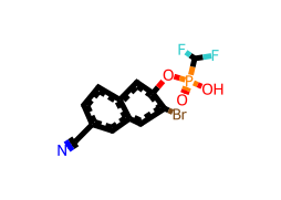 N#Cc1ccc2cc(OP(=O)(O)C(F)F)c(Br)cc2c1